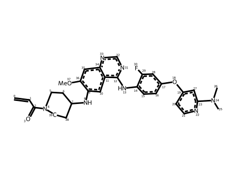 C=CC(=O)N1CCC(Nc2cc3c(Nc4ccc(Oc5ccnc(N(C)C)c5)cc4F)ncnc3cc2OC)CC1